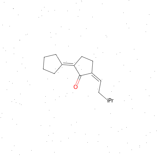 CC(C)CC=C1CCC(=C2CCCC2)C1=O